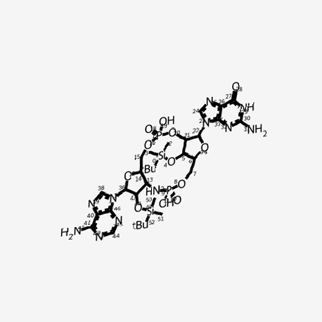 CC(C)(C)[Si](C)(C)OC1C2COP(=O)(O)NC3C(COP(=O)(O)OC1C(n1cnc4c(=O)[nH]c(N)nc41)O2)OC(n1cnc2c(N)ncnc21)C3O[Si](C)(C)C(C)(C)C